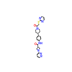 O=C(Nc1ccc(C2CCN(C(=O)CSc3ncccn3)CC2)cc1)C1CN(c2cccnn2)C1